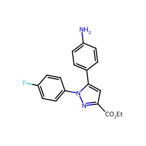 CCOC(=O)c1cc(-c2ccc(N)cc2)n(-c2ccc(F)cc2)n1